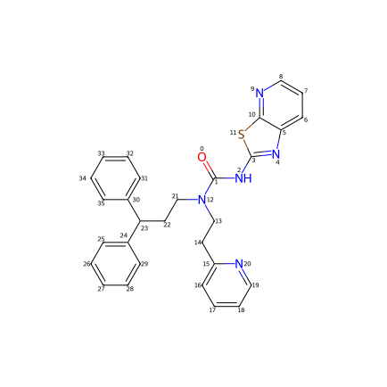 O=C(Nc1nc2cccnc2s1)N(CCc1ccccn1)CCC(c1ccccc1)c1ccccc1